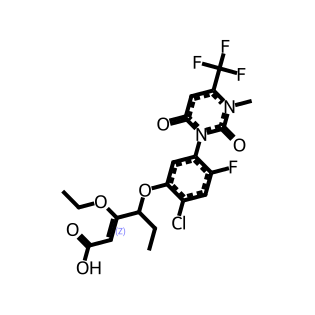 CCO/C(=C\C(=O)O)C(CC)Oc1cc(-n2c(=O)cc(C(F)(F)F)n(C)c2=O)c(F)cc1Cl